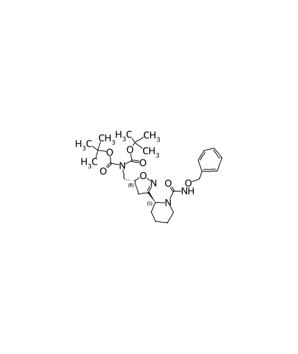 CC(C)(C)OC(=O)N(C[C@H]1CC([C@@H]2CCCCN2C(=O)NOCc2ccccc2)=NO1)C(=O)OC(C)(C)C